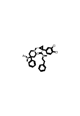 CC(=O)N(C)C1(c2ccccc2)CCN(C[C@@H]2C[C@@]2(C(=O)N(C)CCc2ccccc2)c2ccc(Cl)c(Cl)c2)CC1